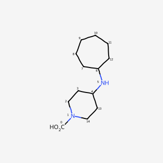 O=C(O)N1CCC(NC2CCCCCC2)CC1